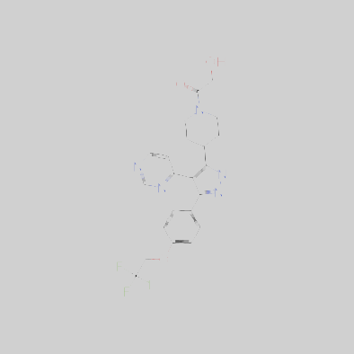 O=C(CO)N1CCC(c2[nH]nc(-c3ccc(OCC(F)(F)F)cc3)c2-c2ccncn2)CC1